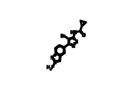 O=C(Nc1snc(-c2ccc3nn(P)cc3c2)c1Br)C1CC1